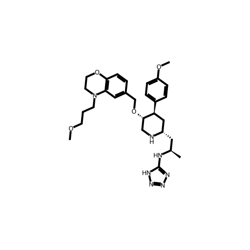 COCCCN1CCOc2ccc(CO[C@H]3CN[C@@H](C[C@@H](C)Nc4nnn[nH]4)C[C@@H]3c3ccc(OC)cc3)cc21